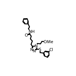 COCCCn1c(CCCCC(=O)NCCc2ccccc2)nnc1SCc1cccc(Cl)c1